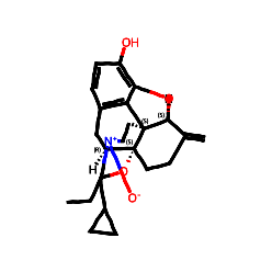 C=C1CC[C@@]2(OCCC)[C@H]3Cc4ccc(O)c5c4[C@@]2(CC[N+]3([O-])CC2CC2)[C@H]1O5